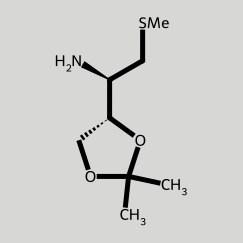 CSC[C@H](N)[C@H]1COC(C)(C)O1